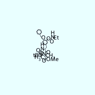 CCNC(=O)Oc1cc(CC(NC(=O)OC(C)(C)C)C(=O)NC(C)(C)C(=O)OC)ccc1OCc1ccccc1